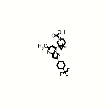 Cc1cc([C@@]23C[C@@H]2CCN(C(=O)O)C3)n2nc([C@H]3CC[C@H](C(F)(F)F)CC3)cc2n1